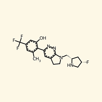 Cc1cc(C(F)(F)F)cc(O)c1-c1cc2c(nn1)N(C[C@@H]1C[C@H](F)CN1)CC2